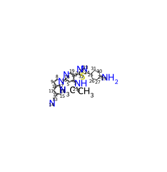 CC(C)Nc1cc(-n2ccc3cc(C#N)cnc32)ncc1-c1nnc([C@H]2CC[C@H](N)CC2)s1